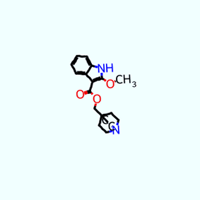 COc1[nH]c2ccccc2c1C(=O)OCC12CCN(CC1)CC2